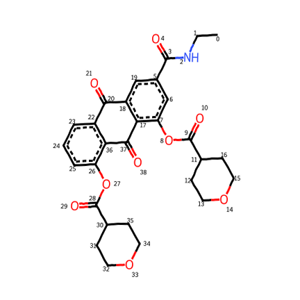 CCNC(=O)c1cc(OC(=O)C2CCOCC2)c2c(c1)C(=O)c1cccc(OC(=O)C3CCOCC3)c1C2=O